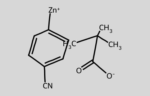 CC(C)(C)C(=O)[O-].N#Cc1cc[c]([Zn+])cc1